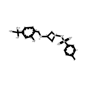 Cc1ccc(S(=O)(=O)ON2CC(OCc3ccc(C(F)(F)F)cc3F)C2)cc1